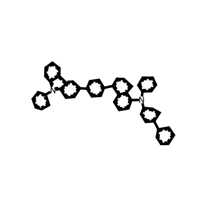 c1ccc(-c2ccc(N(c3ccccc3)c3cccc4c(-c5ccc(-c6ccc7c(c6)c6ccccc6n7-c6ccccc6)cc5)cccc34)cc2)cc1